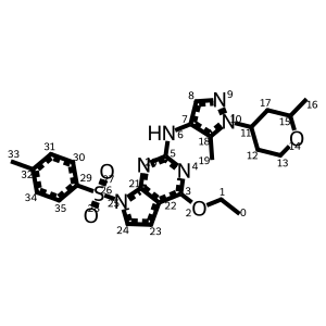 CCOc1nc(Nc2cnn(C3CCOC(C)C3)c2C)nc2c1ccn2S(=O)(=O)c1ccc(C)cc1